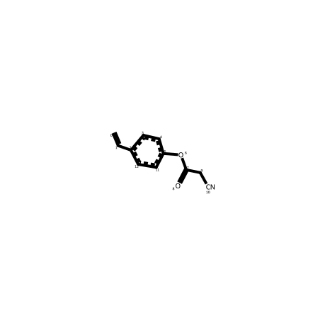 C=Cc1ccc(OC(=O)CC#N)cc1